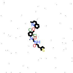 Cc1ccc2cccc(OCc3c(Cl)ccc(N(C)C(=O)CNC(=O)C=Cc4ccsc4)c3Cl)c2n1